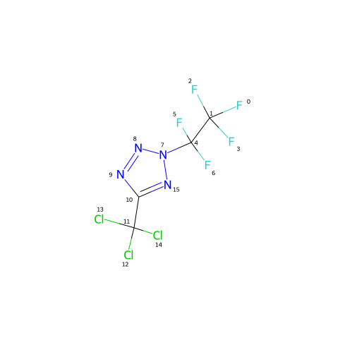 FC(F)(F)C(F)(F)n1nnc(C(Cl)(Cl)Cl)n1